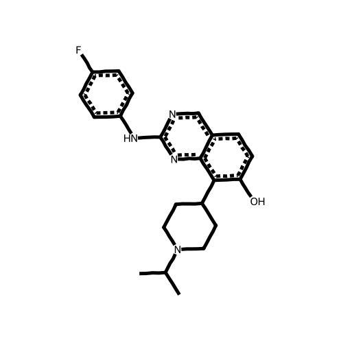 CC(C)N1CCC(c2c(O)ccc3cnc(Nc4ccc(F)cc4)nc23)CC1